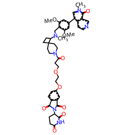 COc1cc(-c2cn(C)c(=O)c3cnccc23)cc(OC)c1CN(C)C1CCC12CCN(C(=O)CCOCCOc1ccc3c(c1)C(=O)N(C1CCC(=O)NC1=O)C3=O)CC2